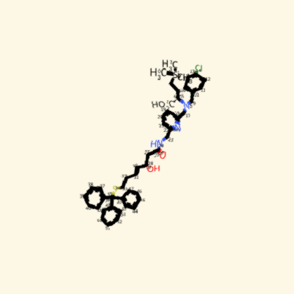 C[Si](C)(C)CC[C@@H](C(=O)O)N(Cc1ccc(Cl)cc1)Cc1cccc(CNC(=O)CC(O)C=CCCSC(c2ccccc2)(c2ccccc2)c2ccccc2)n1